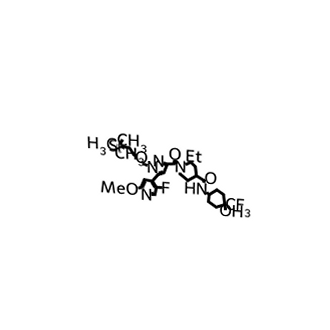 CCC1CC(C(=O)NC2CCC(O)(C(F)(F)F)CC2)CCN1C(=O)c1cc(-c2cc(OC)ncc2F)n(COCC[Si](C)(C)C)n1